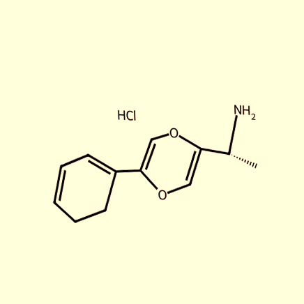 C[C@@H](N)C1=COC(C2=CC=CCC2)=CO1.Cl